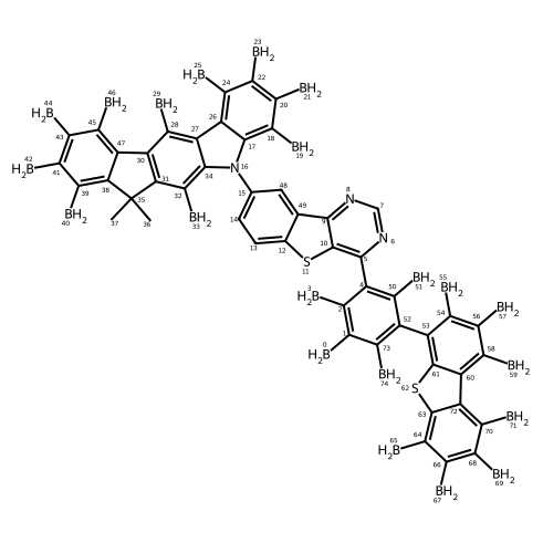 Bc1c(B)c(-c2ncnc3c2sc2ccc(-n4c5c(B)c(B)c(B)c(B)c5c5c(B)c6c(c(B)c54)C(C)(C)c4c(B)c(B)c(B)c(B)c4-6)cc23)c(B)c(-c2c(B)c(B)c(B)c3c2sc2c(B)c(B)c(B)c(B)c23)c1B